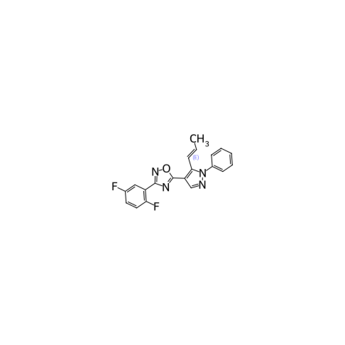 C/C=C/c1c(-c2nc(-c3cc(F)ccc3F)no2)cnn1-c1ccccc1